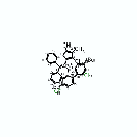 CC1=C(C)C(C)=[C]([Zr+2](=[C](c2ccccc2)c2ccccc2)[CH]2c3cc(C(C)(C)C)ccc3-c3ccc(C(C)(C)C)cc32)C1.[Cl-].[Cl-]